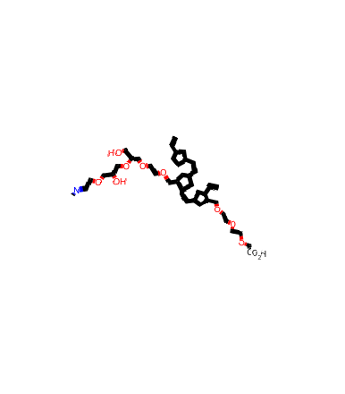 C=CC1CCC(/C=C\C2CC(/C=C\C3CC(C=C)C(COCCOCCOCC(=O)O)C3)C(COCCOCC(CO)OCC(O)COC/C=N/C)C2)C1